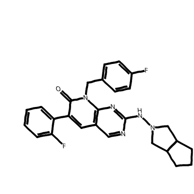 O=c1c(-c2ccccc2F)cc2cnc(NN3CC4CCCC4C3)nc2n1Cc1ccc(F)cc1